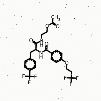 CC(=O)OCCNC(=O)C(Cc1ccc(C(F)(F)F)cc1)NC(=O)c1ccc(OCCC(F)(F)F)cc1